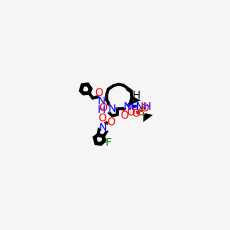 O=C(Cc1ccccc1)N[C@H]1CCCCC/C=C\[C@@H]2C[C@@]2(C(=O)NS(=O)(=O)C2CC2)NC(=O)C2C[C@@H](OC(=O)N3Cc4cccc(F)c4C3)CN2C1=O